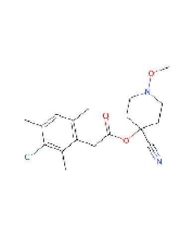 CON1CCC(C#N)(OC(=O)Cc2c(C)cc(C)c(Cl)c2C)CC1